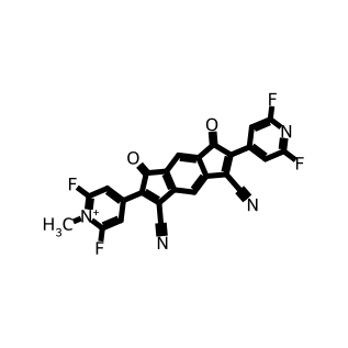 C[n+]1c(F)cc(-c2c(C#N)c3cc4c(C#N)c(-c5cc(F)nc(F)c5)c(=O)c4cc3c2=O)cc1F